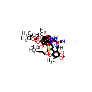 CCCCOOc1c(C)c2c(c3c1[C@H]1SC[C@]4(NCCc5cc(OC(=O)OC(C)(C)C)c(OC)cc54)C(=O)OC[C@@H]3N3C1[C@@H]1c4c(cc(C)c(OC)c4O)C[C@@H]([C@@H]3C#N)N1C)OCO2